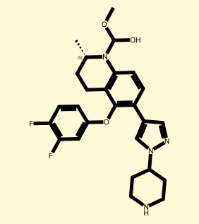 COC(O)N1c2ccc(-c3cnn(C4CCNCC4)c3)c(Oc3ccc(F)c(F)c3)c2CC[C@@H]1C